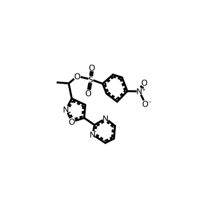 CC(OS(=O)(=O)c1ccc([N+](=O)[O-])cc1)c1cc(-c2ncccn2)on1